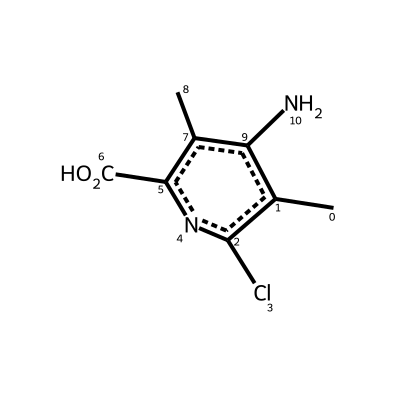 Cc1c(Cl)nc(C(=O)O)c(C)c1N